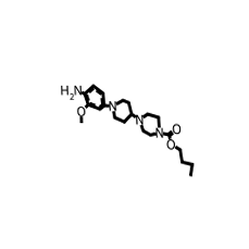 CCCCOC(=O)N1CCN(C2CCN(c3ccc(N)c(OC)c3)CC2)CC1